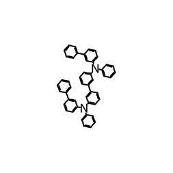 c1ccc(-c2cccc(N(c3ccccc3)c3cccc(-c4cccc(N(c5ccccc5)c5cccc(-c6ccccc6)c5)c4)c3)c2)cc1